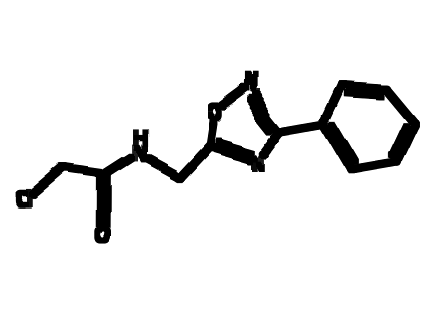 O=C(CCl)NCc1nc(-c2ccccc2)no1